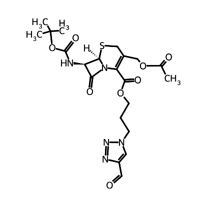 CC(=O)OCC1=C(C(=O)OCCCn2cc(C=O)nn2)N2C(=O)[C@@H](NC(=O)OC(C)(C)C)[C@H]2SC1